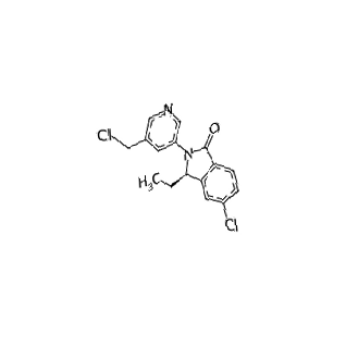 CC[C@@H]1c2cc(Cl)ccc2C(=O)N1c1cncc(CCl)c1